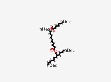 CCCCCCCCCCCCCCCCC(CCCCCCCCCCCCCC)COC(=O)CCCCCCCCC(CCCCCC)OC(=O)CCCCCCCCCCCCCCC